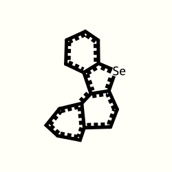 c1ccc2c(c1)ccc1[se]c3ccccc3c12